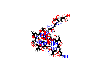 CC(C)C[C@H](NC(=O)[C@H](CC(=O)O)NC(=O)CNC(=O)[C@@H](NC(=O)[C@H](CCCCN)NC(=O)[C@@H](N)[C@@H](C)O)C(C)C)C(=O)N[C@H](C(=O)N[C@H](C(=O)N[C@H](C(=O)N[C@@H](CO)C(=O)N[C@@H](CC(C)C)C(=O)N1CCC[C@H]1C(=O)NCC(=O)NCC(=O)N[C@@H](CCC(=O)O)C(=O)O)C(C)C)[C@@H](C)O)C(C)C